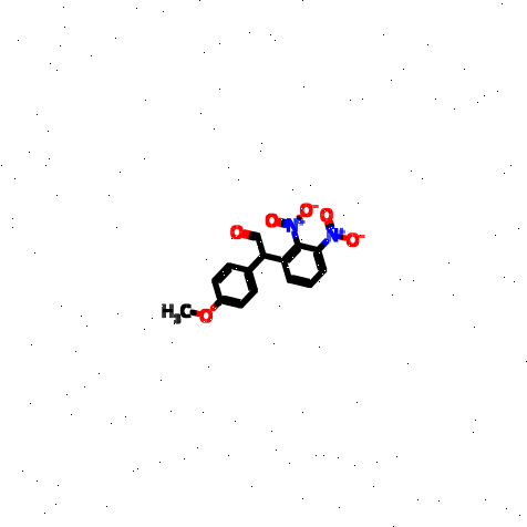 COc1ccc(C(C=O)c2cccc([N+](=O)[O-])c2[N+](=O)[O-])cc1